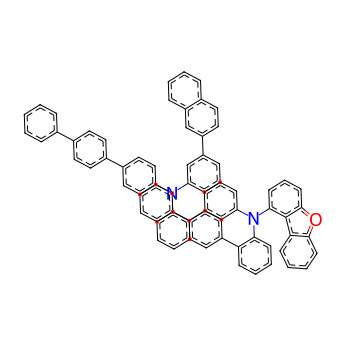 c1ccc(-c2ccc(-c3ccc(N(c4cccc(-c5ccc6ccccc6c5)c4)c4ccccc4-c4cccc(N(c5ccccc5-c5ccc(-c6ccccc6)cc5)c5cccc6oc7ccccc7c56)c4)cc3)cc2)cc1